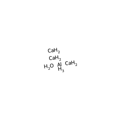 O.[AlH3].[CaH2].[CaH2].[CaH2]